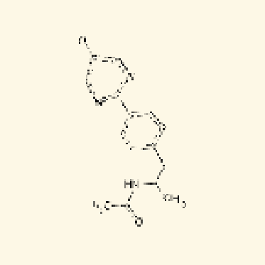 CC(=O)NC(C)Cc1ccc(-c2ncc(Cl)cn2)cc1